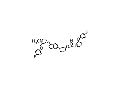 CN1CCN(CC2CCc3cc(C4CCCC(OC[C@H](O)CN5CCC[C@H](Oc6ccc(F)cc6)C5)C4)ccc32)CC1COc1ccc(F)cc1